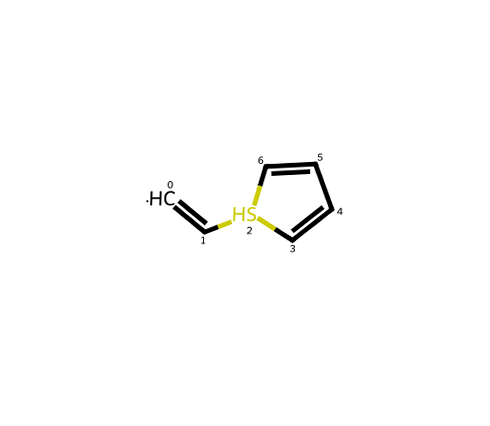 [CH]=C[SH]1C=CC=C1